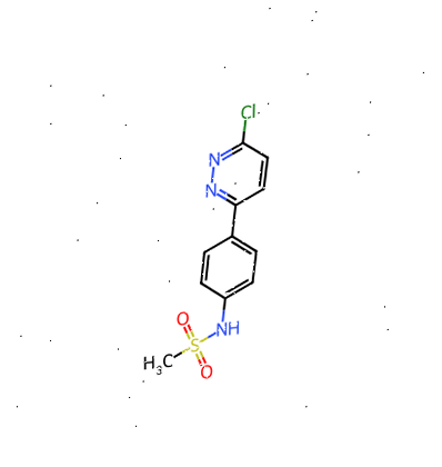 CS(=O)(=O)Nc1ccc(-c2ccc(Cl)nn2)cc1